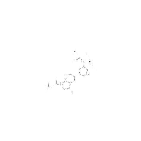 COc1ncc(-c2cnc3c(c2)c(I)cn3C(=O)OC(C)(C)C)cc1N(C(=O)OC(C)(C)C)S(C)(=O)=O